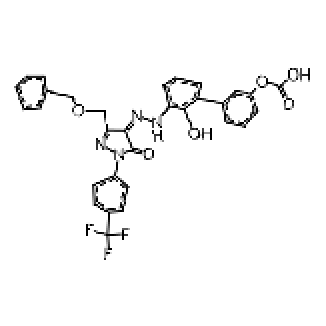 O=C(O)Oc1cccc(-c2cccc(NN=C3C(=O)N(c4ccc(C(F)(F)F)cc4)N=C3COCc3ccccc3)c2O)c1